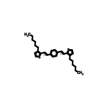 CCCCCCc1ccsc1/C=C/c1ccc(/C=C/c2sccc2CCCCCC)cc1